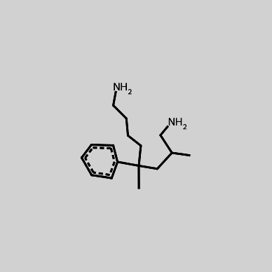 CC(CN)CC(C)(CCCCN)c1ccccc1